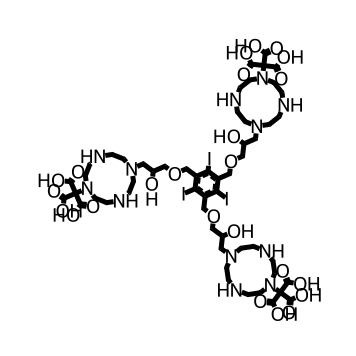 O=C(O)C(C(=O)O)(C(=O)O)N1CCNCCN(CC(O)COCc2c(I)c(COCC(O)CN3CCNCCN(C(C(=O)O)(C(=O)O)C(=O)O)CCNCC3)c(I)c(COCC(O)CN3CCNCCN(C(C(=O)O)(C(=O)O)C(=O)O)CCNCC3)c2I)CCNCC1